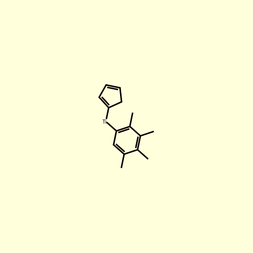 Cc1c[c]([Ti][C]2=CC=CC2)c(C)c(C)c1C